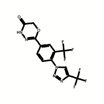 O=C1COC(c2ccc(-n3cc(C(F)(F)F)nn3)c(C(F)(F)F)c2)=NN1